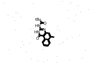 Cc1cc2nc(NC(=O)C(C)(C)C)[nH]c(=O)c2c2ccccc12